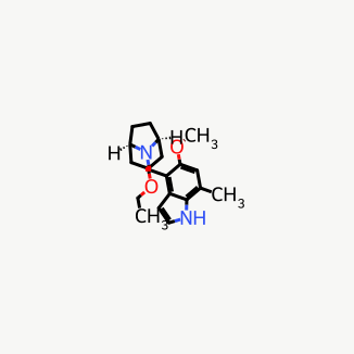 CCOC1C[C@H]2CC[C@@H](C1)N2Cc1c(OC)cc(C)c2[nH]ccc12